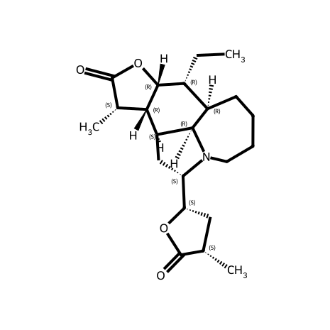 CC[C@@H]1[C@H]2CCCCN3[C@H]2[C@@H](C[C@H]3[C@@H]2C[C@H](C)C(=O)O2)[C@H]2[C@@H]1OC(=O)[C@H]2C